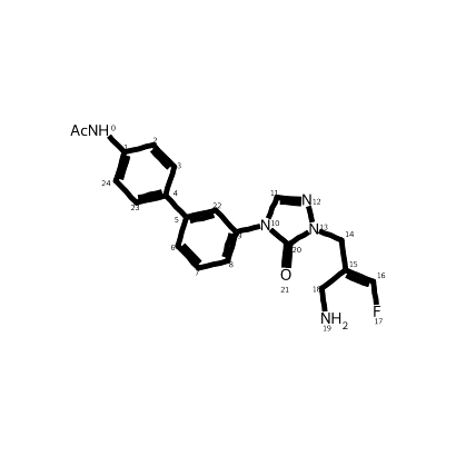 CC(=O)Nc1ccc(-c2cccc(-n3cnn(C/C(=C/F)CN)c3=O)c2)cc1